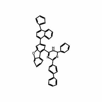 c1ccc(-c2ccc(C3=NC(c4ccccc4)NC(c4cc(-c5ccc(-c6ccccc6)c6ccccc56)cc5oc6ccccc6c45)=N3)cc2)cc1